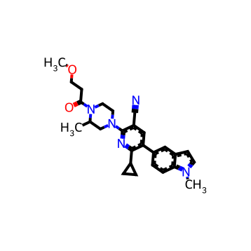 COCCC(=O)N1CCN(c2nc(C3CC3)c(-c3ccc4c(ccn4C)c3)cc2C#N)CC1C